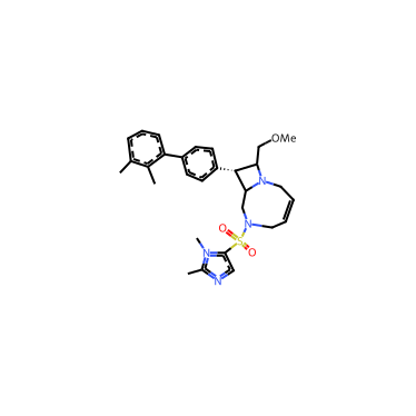 COCC1[C@@H](c2ccc(-c3cccc(C)c3C)cc2)C2CN(S(=O)(=O)c3cnc(C)n3C)C/C=C\CN12